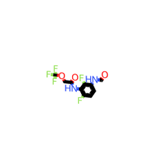 O=CNc1ccc(F)c(NC(=O)COC(F)(F)F)c1F